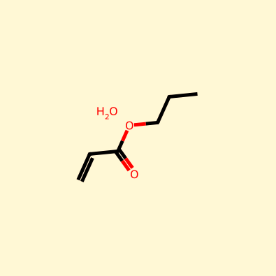 C=CC(=O)OCCC.O